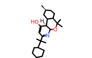 C[C@H]1CCC2C(C1)[C@@H]1C(O)=CC(C(C)(C)C3CCCCC3)=NC1OC2(C)C